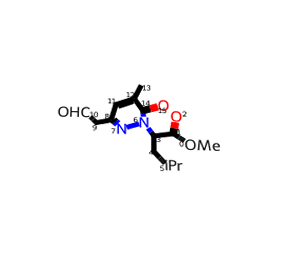 COC(=O)C(CC(C)C)n1nc(CC=O)cc(C)c1=O